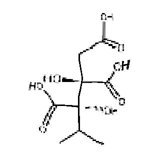 CC(C)[C@@](O)(C(=O)O)[C@](O)(CC(=O)O)C(=O)O